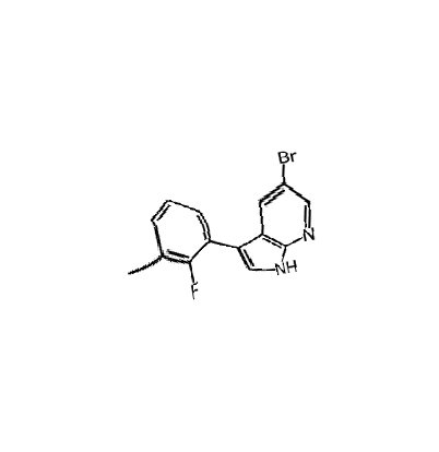 Cc1cccc(-c2c[nH]c3ncc(Br)cc23)c1F